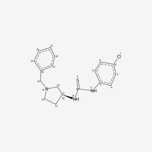 S=C(Nc1ccc(Cl)cc1)N[C@H]1CCN(Cc2ccccc2)C1